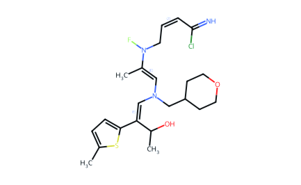 C/C(=C\N(/C=C(/c1ccc(C)s1)C(C)O)CC1CCOCC1)N(F)C/C=C\C(=N)Cl